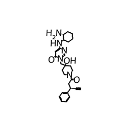 C#C[C@H](CC(=O)N1CCC(O)(Cn2cnc(NC3CCCC[C@H]3N)cc2=O)CC1)c1ccccc1